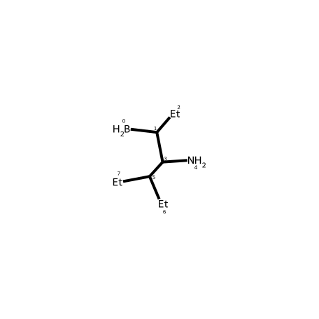 BC(CC)C(N)C(CC)CC